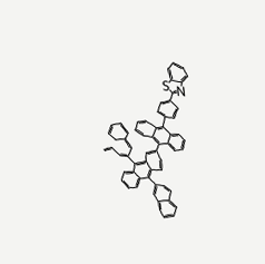 C=C/C=C(\C=C1\C=CC=CC1)c1c2ccccc2c(-c2ccc3ccccc3c2)c2ccc(-c3c4ccccc4c(-c4ccc(-c5nc6ccccc6s5)cc4)c4ccccc34)cc12